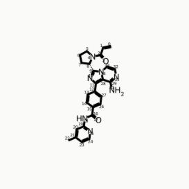 C=CC(=O)N1CCC[C@H]1c1nc(-c2ccc(C(=O)Nc3cc(C)ccn3)cc2)c2c(N)nccn12